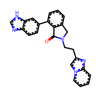 O=C1c2c(cccc2-c2ccc3nc[nH]c3c2)CN1CCc1cn2ccccc2n1